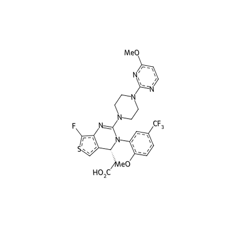 COc1ccnc(N2CCN(C3=Nc4c(csc4F)[C@@H](CC(=O)O)N3c3cc(C(F)(F)F)ccc3OC)CC2)n1